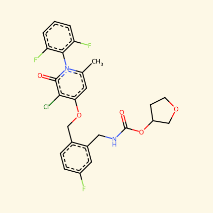 Cc1cc(OCc2ccc(F)cc2CNC(=O)OC2CCOC2)c(Cl)c(=O)n1-c1c(F)cccc1F